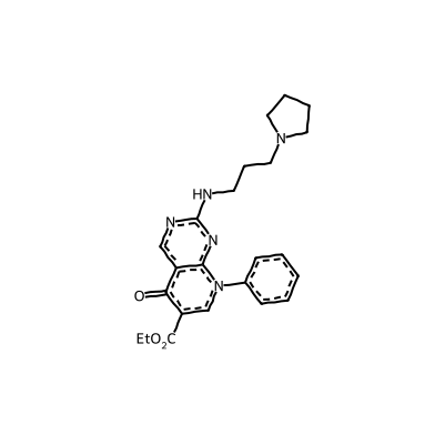 CCOC(=O)c1cn(-c2ccccc2)c2nc(NCCCN3CCCC3)ncc2c1=O